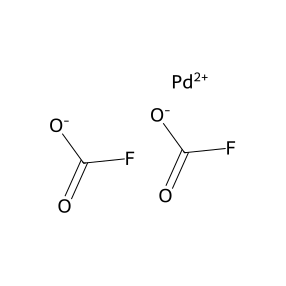 O=C([O-])F.O=C([O-])F.[Pd+2]